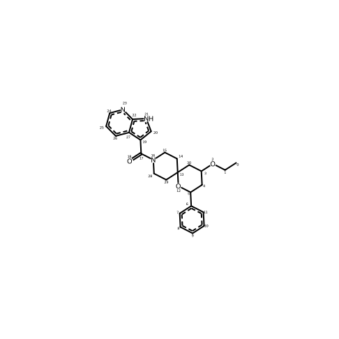 CCOC1CC(c2ccccc2)OC2(CCN(C(=O)c3c[nH]c4ncccc34)CC2)C1